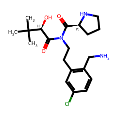 CC(C)(C)[C@@H](O)C(=O)N(CCc1cc(Cl)ccc1CN)C(=O)[C@@H]1CCCN1